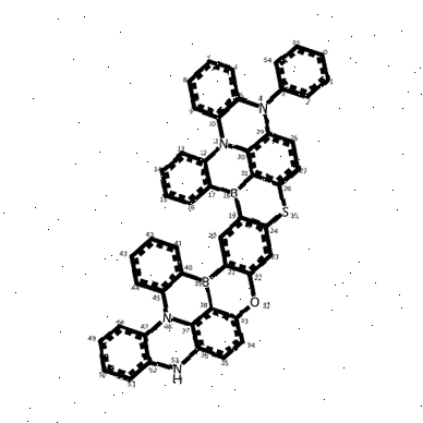 c1ccc(N2c3ccccc3N3c4ccccc4B4c5cc6c(cc5Sc5ccc2c3c54)Oc2ccc3c4c2B6c2ccccc2N4c2ccccc2N3)cc1